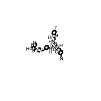 N#Cc1ccc(C[C@H](Nc2nc(NCc3nc4cc(F)ccc4[nH]3)nc(Nc3cccc(CN4CCN(C(=O)c5ccnnc5O)CC4)c3)n2)C(=O)O)cc1